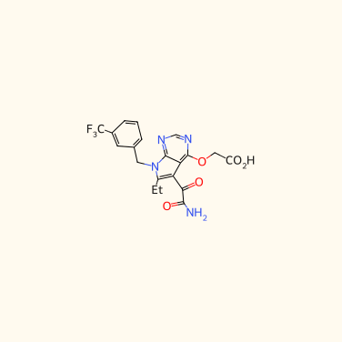 CCc1c(C(=O)C(N)=O)c2c(OCC(=O)O)ncnc2n1Cc1cccc(C(F)(F)F)c1